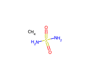 C.NS(N)(=O)=O